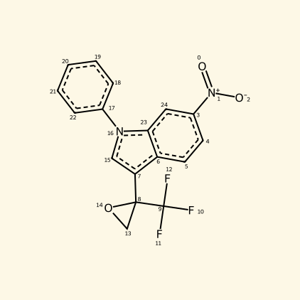 O=[N+]([O-])c1ccc2c(C3(C(F)(F)F)CO3)cn(-c3ccccc3)c2c1